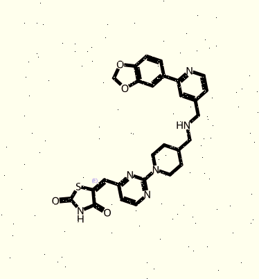 O=C1NC(=O)/C(=C\c2ccnc(N3CCC(CNCc4ccnc(-c5ccc6c(c5)OCO6)c4)CC3)n2)S1